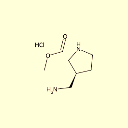 COC=O.Cl.NC[C@@H]1CCNC1